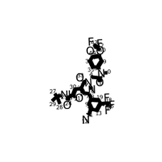 CN(C(=O)Cn1nc(-c2cc(C#N)cc(C(F)(F)F)c2)c2oc(C(=O)NC(C)(C)C)cc2c1=O)c1ccc2c(c1)OC(F)(F)O2